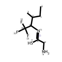 CCC(C)C(/N=C(\S)CN)C(F)(F)F